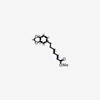 COC(=O)/C=C/C=C/CCc1ccc2c(c1)OCO2